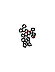 c1ccc(-c2ccccc2-c2ccccc2-c2ccccc2N(c2ccc3c(c2)C2(c4ccccc4-c4ccccc42)c2ccccc2-3)c2ccc3c(c2)C2(c4ccccc4-3)C3CC4CC(C3)CC2C4)cc1